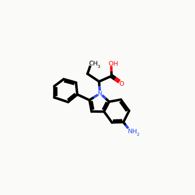 CCC(C(=O)O)n1c(-c2ccccc2)cc2cc(N)ccc21